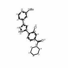 CC(C)(C)c1cc(-c2cc(-c3ccc(C(=O)N4CCCCC4)cc3Cl)[nH]n2)ccn1